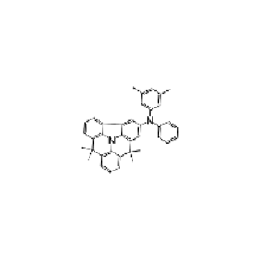 Cc1cc(C)cc(N(c2ccccc2)c2cc3c4c(c2)c2cccc5c2n4-c2c(cccc2C3(C)C)C5(C)C)c1